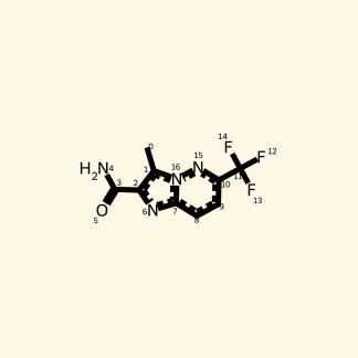 Cc1c(C(N)=O)nc2ccc(C(F)(F)F)nn12